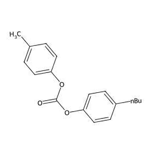 CCCCc1ccc(OC(=O)Oc2ccc(C)cc2)cc1